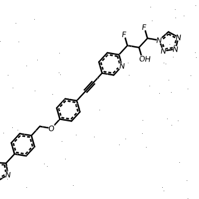 OC(C(F)c1ccc(C#Cc2ccc(OCc3ccc(-c4ncco4)cc3)cc2)cn1)C(F)n1cnnn1